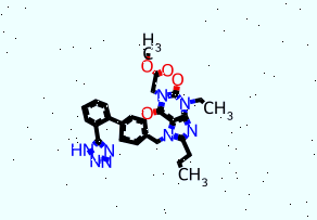 CCCc1nc2c(c(=O)n(CC(=O)OC)c(=O)n2CC)n1Cc1ccc(-c2ccccc2-c2nnn[nH]2)cc1